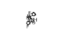 O=c1[nH]c2c(-c3ccccc3F)nnn2c2ccc(F)cc12